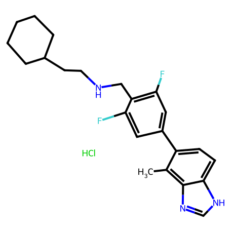 Cc1c(-c2cc(F)c(CNCCC3CCCCC3)c(F)c2)ccc2[nH]cnc12.Cl